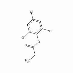 [CH2]CC(=O)Oc1c(Cl)cc(Cl)cc1Cl